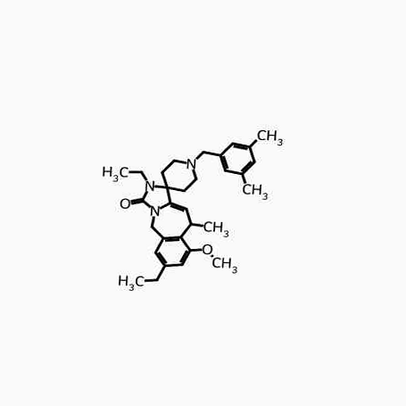 CCc1cc2c(c(OC)c1)C(C)C=C1N(C2)C(=O)N(CC)C12CCN(Cc1cc(C)cc(C)c1)CC2